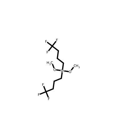 C[O][Sn]([CH2]CCC(F)(F)F)([CH2]CCC(F)(F)F)[O]C